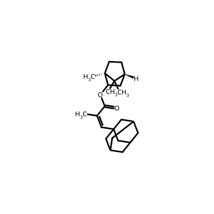 CC(=CC12CC3CC(CC(C3)C1)C2)C(=O)OC1C[C@H]2CC[C@@]1(C)C2(C)C